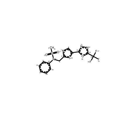 CS(=O)(=O)N(Cc1ncc(-c2nnc(C(F)(F)F)o2)s1)c1ccccc1